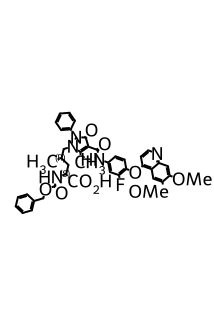 COc1cc2nccc(Oc3ccc(NC(=O)c4c(C)n(C[C@H](C)C[C@H](NC(=O)OCc5ccccc5)C(=O)O)n(-c5ccccc5)c4=O)cc3F)c2cc1OC